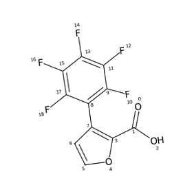 O=C(O)c1occc1-c1c(F)c(F)c(F)c(F)c1F